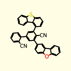 N#Cc1ccccc1-c1cc(-c2ccc3oc4ccccc4c3c2)c(C#N)c(-c2cccc3sc4ccccc4c23)c1